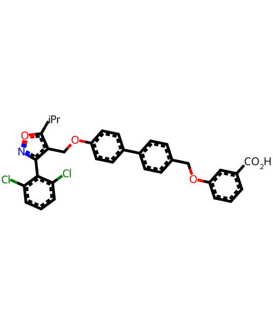 CC(C)c1onc(-c2c(Cl)cccc2Cl)c1COc1ccc(-c2ccc(COc3cccc(C(=O)O)c3)cc2)cc1